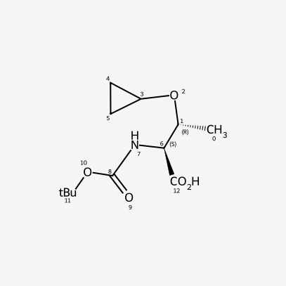 C[C@@H](OC1CC1)[C@H](NC(=O)OC(C)(C)C)C(=O)O